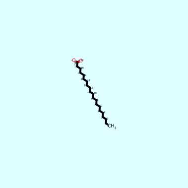 CCCCCCCCCCCCCCCCCCCCC([O])=O